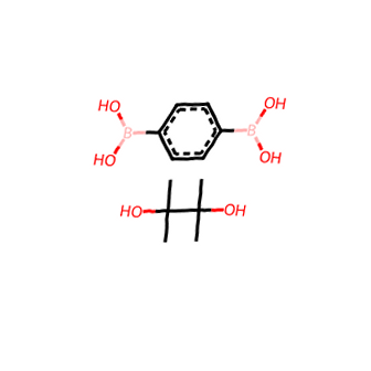 CC(C)(O)C(C)(C)O.OB(O)c1ccc(B(O)O)cc1